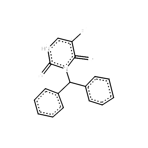 O=c1[nH]cc(F)c(=O)n1C(c1ccccc1)c1ccccc1